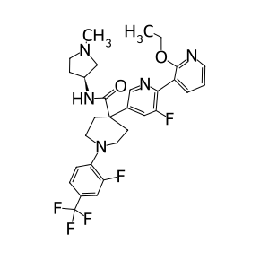 CCOc1ncccc1-c1ncc(C2(C(=O)N[C@H]3CCN(C)C3)CCN(c3ccc(C(F)(F)F)cc3F)CC2)cc1F